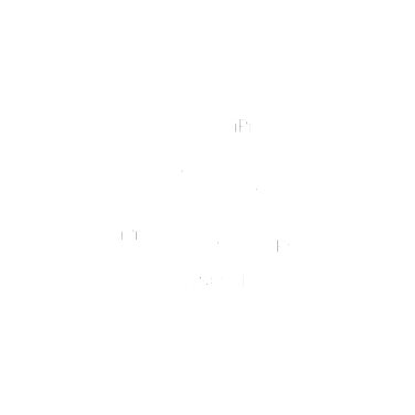 CC(C)C1=C[C@H](C(C)C)C(S(=O)(=O)O)C(C(C)C)=C1